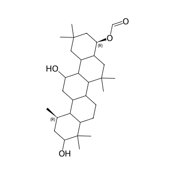 C[C@@H]1CC(O)C(C)(C)C2CCC3C(CC(O)C4C5CC(C)(C)C[C@@H](OC=O)C5CC(C)(C)C34)C21